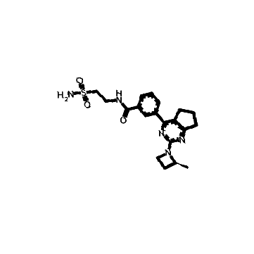 C[C@H]1CCN1c1nc2c(c(-c3cccc(C(=O)NCCS(N)(=O)=O)c3)n1)CCC2